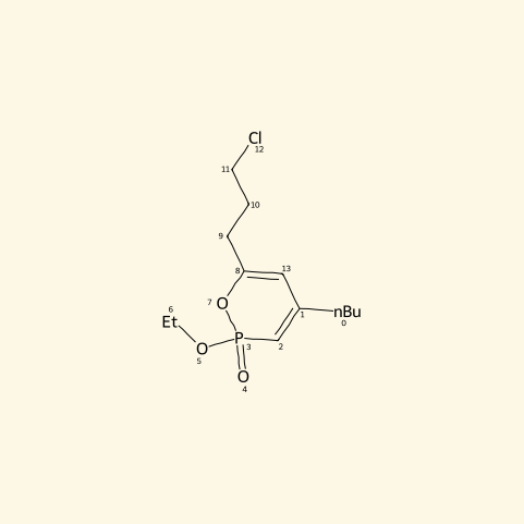 CCCCC1=CP(=O)(OCC)OC(CCCCl)=C1